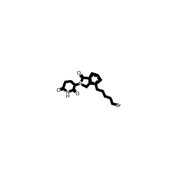 O=C1CCC(N2Cc3c(CCCCCBr)cccc3C2=O)C(=O)N1